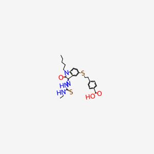 CCCCCN1C(=O)C(=NNC(=S)NCC)c2cc(SCCc3ccc(C(=O)O)cc3)ccc21